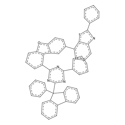 c1ccc(-c2nc(-c3cccc4oc5ccc(-c6cccc7nc(-c8ccccc8)sc67)cc5c34)nc(C3(c4ccccc4)c4ccccc4-c4ccccc43)n2)cc1